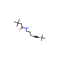 CC(C)(C)C#CCCCNC(=O)CC(C)(C)C